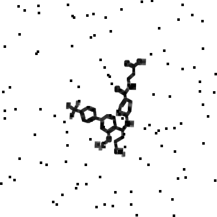 CCCC(Nc1ccc(C(=O)NCCC(=O)O)cn1)c1ccc(-c2ccc(C(F)(F)F)cc2)cc1OC